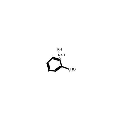 O=Cc1ccccc1.[KH].[NaH]